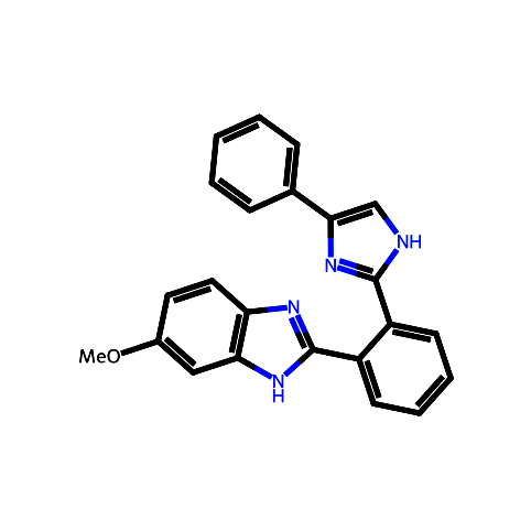 COc1ccc2nc(-c3ccccc3-c3nc(-c4ccccc4)c[nH]3)[nH]c2c1